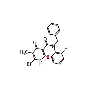 CCc1cccc(C)c1N(Cc1ccccc1)C(=O)c1c(C)[nH]c(CC)c(C)c1=O